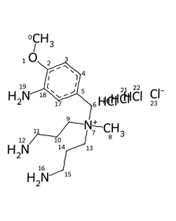 COc1ccc(C[N+](C)(CCCN)CCCN)cc1N.Cl.Cl.Cl.[Cl-]